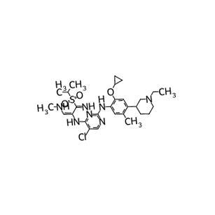 CCN1CCCC(c2cc(OC3CC3)c(Nc3ncc(Cl)c(N/C(=C/NC)C(=N)S(=O)(=O)C(C)C)n3)cc2C)C1